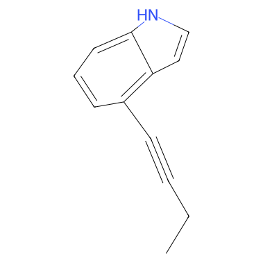 CCC#Cc1cccc2[nH]ccc12